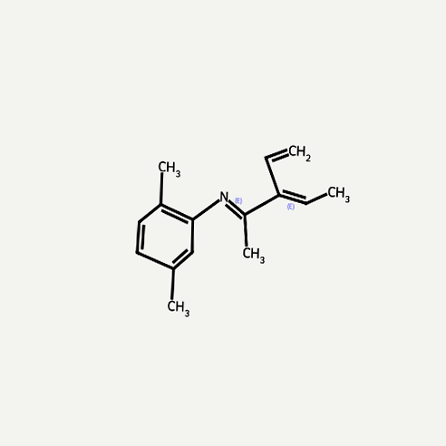 C=CC(=C\C)/C(C)=N/c1cc(C)ccc1C